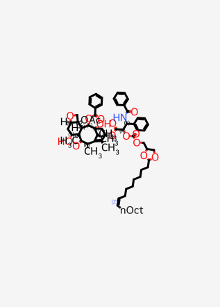 CCCCCCCC/C=C\CCCCCCCC1OCC(COC(=O)O[C@@H](C(=O)O[C@H]2C[C@@]3(O)[C@@H](OC(=O)c4ccccc4)[C@@H]4[C@]5(OC(C)=O)CO[C@@H]5C[C@H](O)[C@@]4(C)C(=O)[C@H](C)C(=C2C)C3(C)C)[C@@H](NC(=O)c2ccccc2)c2ccccc2)O1